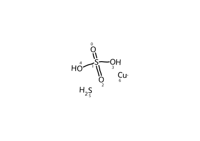 O=S(=O)(O)O.S.[Cu]